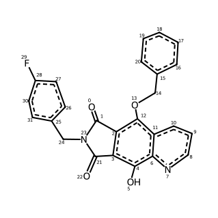 O=C1c2c(c(O)c3ncccc3c2OCc2ccccc2)C(=O)N1Cc1ccc(F)cc1